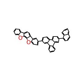 c1ccc2c(-c3ccc4c5ccc(-c6ccc7oc8c(ccc9c%10ccccc%10oc98)c7c6)cc5c5ccccc5c4c3)cccc2c1